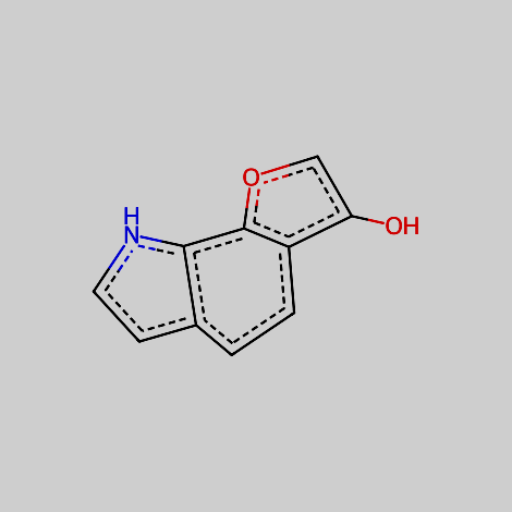 Oc1coc2c1ccc1cc[nH]c12